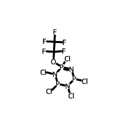 FC(F)(F)C(F)(F)OP1(Cl)=NP(Cl)N(Cl)P(Cl)N1Cl